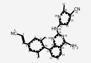 Cc1cc(C=CC#N)cc(C)c1-c1cccc2c(N)nc(Nc3ccc(C#N)c(C)n3)nc12